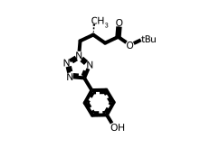 C[C@H](CC(=O)OC(C)(C)C)Cn1nnc(-c2ccc(O)cc2)n1